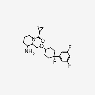 NC1CCCN(C(=O)C2CC2)C1COC1CCC(F)(c2cc(F)cc(F)c2)CC1